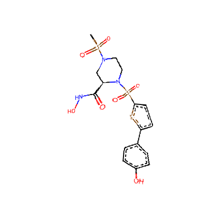 CS(=O)(=O)N1CCN(S(=O)(=O)c2ccc(-c3ccc(O)cc3)s2)[C@@H](C(=O)NO)C1